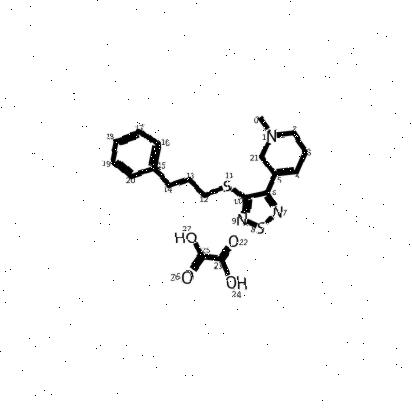 CN1CCC=C(c2nsnc2SCCCc2ccccc2)C1.O=C(O)C(=O)O